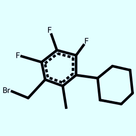 Cc1c(CBr)c(F)c(F)c(F)c1C1CCCCC1